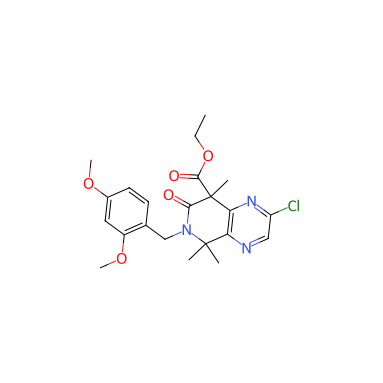 CCOC(=O)C1(C)C(=O)N(Cc2ccc(OC)cc2OC)C(C)(C)c2ncc(Cl)nc21